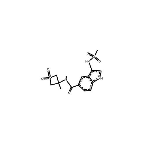 CC1(NC(=O)c2ccc3[nH]nc(NS(C)(=O)=O)c3c2)CS(=O)(=O)C1